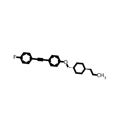 CCC[C@H]1CC[C@H](COc2ccc(C#Cc3ccc(F)cc3)cc2)CC1